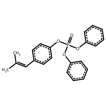 CC(C)=Cc1ccc(OP(=O)(Oc2ccccc2)Oc2ccccc2)cc1